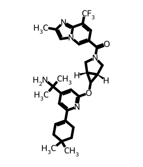 Cc1cn2cc(C(=O)N3C[C@@H]4C(Oc5cc(C(C)(C)N)cc(C6=CCC(C)(C)CC6)n5)[C@@H]4C3)cc(C(F)(F)F)c2n1